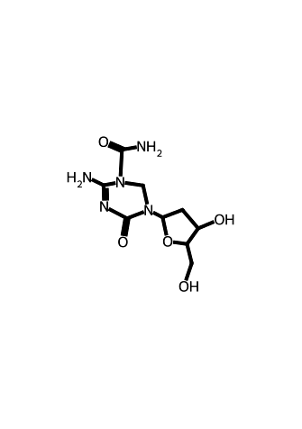 NC(=O)N1CN(C2CC(O)C(CO)O2)C(=O)N=C1N